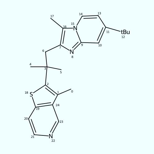 Cc1c(C(C)(C)Cc2nc3cc(C(C)(C)C)ccn3c2C)sc2ccncc12